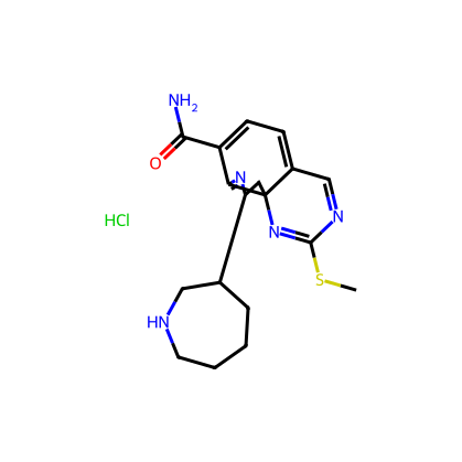 CSC1=NC23CC(C4CCCCNC4)N=C2C(C(N)=O)=CC=C3C=N1.Cl